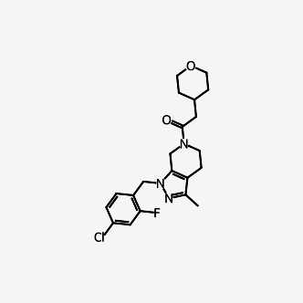 Cc1nn(Cc2ccc(Cl)cc2F)c2c1CCN(C(=O)CC1CCOCC1)C2